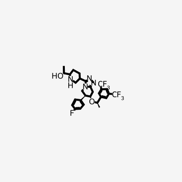 CC(O)C1CCC(c2nnc3n2C[C@H](c2ccc(F)cc2)[C@@H](O[C@H](C)c2cc(C(F)(F)F)cc(C(F)(F)F)c2)C3)CN1